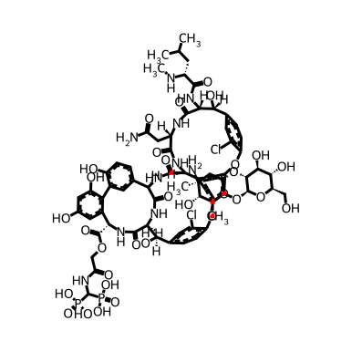 CN[C@H](CC(C)C)C(=O)N[C@H]1C(=O)N[C@@H](CC(N)=O)C(=O)N[C@H]2C(=O)N[C@H]3C(=O)N[C@H](C(=O)N[C@H](C(=O)OCC(=O)NC(P(=O)(O)O)P(=O)(O)O)c4cc(O)cc(O)c4-c4cc3ccc4O)[C@H](O)c3ccc(c(Cl)c3)Oc3cc2cc(c3O[C@@H]2O[C@H](CO)[C@@H](O)[C@H](O)[C@H]2O[C@H]2C[C@](C)(N)[C@@H](O)[C@H](C)O2)Oc2ccc(cc2Cl)[C@H]1O